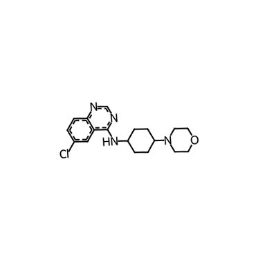 Clc1ccc2ncnc(NC3CCC(N4CCOCC4)CC3)c2c1